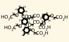 Cc1ccc(OCC(=O)O)c(OCC(=O)O)c1.O=C(O)COc1ccc(OCC(=O)O)cc1.O=C(O)COc1cccc(OCC(=O)O)c1.O=C(O)COc1ccccc1C(=O)O